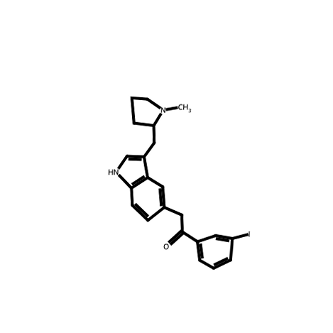 CN1CCCC1Cc1c[nH]c2ccc(CC(=O)c3cccc(I)c3)cc12